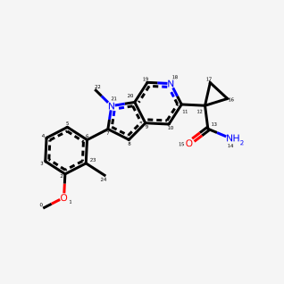 COc1cccc(-c2cc3cc(C4(C(N)=O)CC4)ncc3n2C)c1C